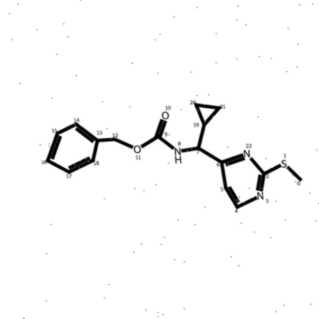 CSc1nccc(C(NC(=O)OCc2ccccc2)C2CC2)n1